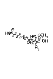 COC1C(CO)OC(C)C(NCC(O)COCCCSCCC(=O)O)C1O